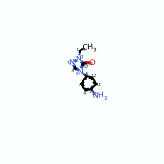 CCn1ncn(-c2ccc(N)cc2)c1=O